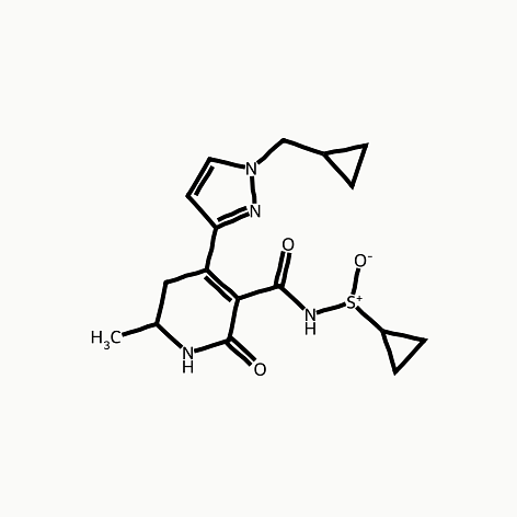 CC1CC(c2ccn(CC3CC3)n2)=C(C(=O)N[S+]([O-])C2CC2)C(=O)N1